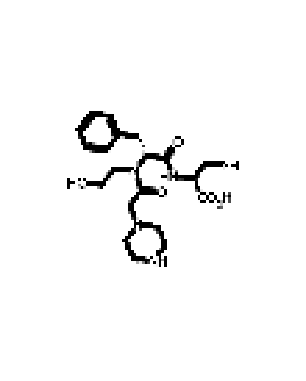 O=C(O)[C@H](CS)NC(=O)[C@@H](Cc1ccccc1)N(CCO)C(=O)CN1CCNCC1